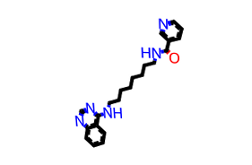 O=C(NCCCCCCCCNc1ncnc2ccccc12)c1cccnc1